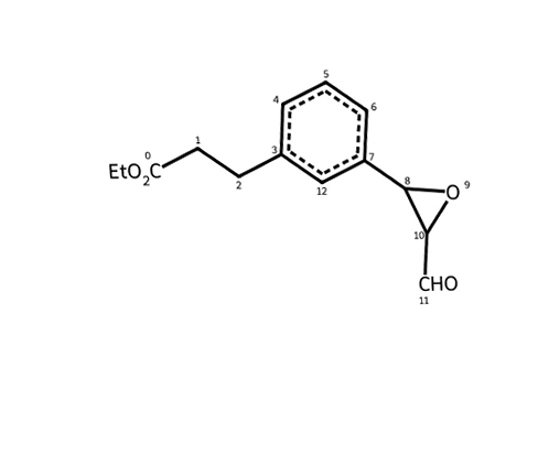 CCOC(=O)CCc1cccc(C2OC2C=O)c1